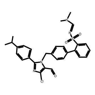 CC(C)c1ccc(-c2nc(Cl)c(C=O)n2Cc2ccc(-c3ccccc3S(=O)(=O)N=CN(C)C)cc2)cc1